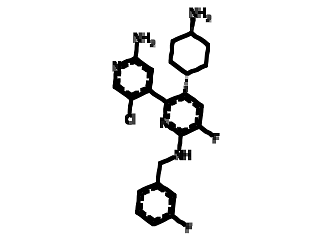 Nc1cc(-c2nc(NCc3cccc(F)c3)c(F)cc2[C@H]2CC[C@H](N)CC2)c(Cl)cn1